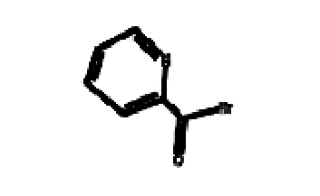 O=C(Br)c1ccccn1